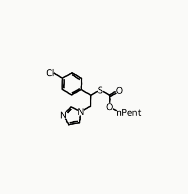 CCCCCOC(=O)SC(Cn1ccnc1)c1ccc(Cl)cc1